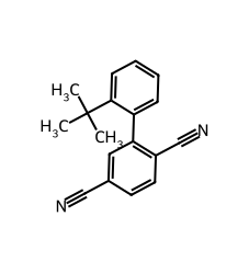 CC(C)(C)c1ccccc1-c1cc(C#N)ccc1C#N